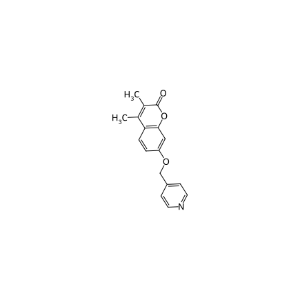 Cc1c(C)c2ccc(OCc3ccncc3)cc2oc1=O